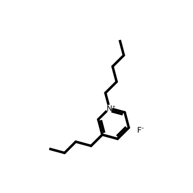 CCCCC[n+]1cccc(CCCC)c1.[F-]